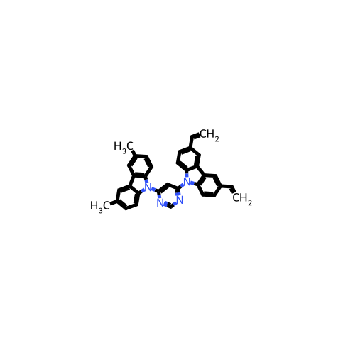 C=Cc1ccc2c(c1)c1cc(C=C)ccc1n2-c1cc(-n2c3ccc(C)cc3c3cc(C)ccc32)ncn1